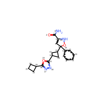 NC(=O)C1=CC(c2ccccc2)(C2CC(c3nnc(C4CCC4)o3)C2)ON1